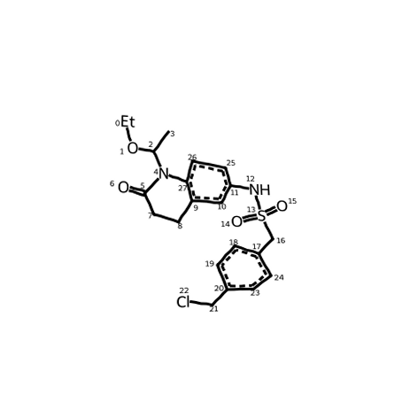 CCOC(C)N1C(=O)CCc2cc(NS(=O)(=O)Cc3ccc(CCl)cc3)ccc21